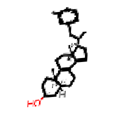 Cc1cccc(CC(C)[C@H]2CC=C3C4=C(CC[C@@]32C)[C@@]2(C)CC[C@H](O)C[C@@H]2CC4)c1